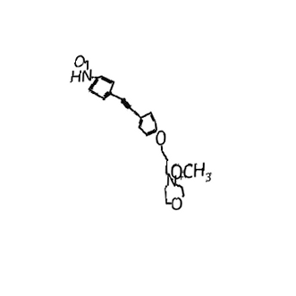 CO[N+]1(CCCOc2ccc(C#Cc3ccc(NC=O)cc3)cc2)CCOCC1